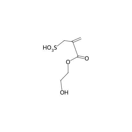 C=C(CS(=O)(=O)O)C(=O)OCCO